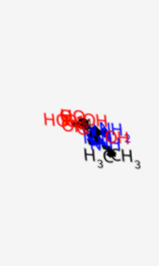 CC(C)=CCNc1ncnc2c1c(C(N)=NO)cn2[C@@H]1OC(COP(=O)(O)O)C(O)[C@H]1O